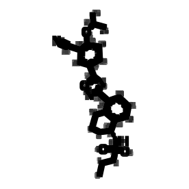 CCCS(=O)(=O)N[C@@H]1CCCc2c(-c3noc(-c4ccc(OC(C)C)c(C#N)c4)n3)cccc21